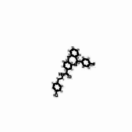 O=C(NCCc1ccc(Cl)cc1)c1ccc2c(c1)N=C(c1ccc(F)cc1)c1ccccc1S2